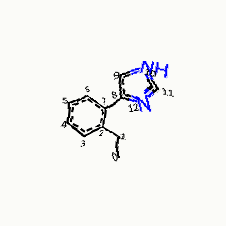 CCc1ccccc1-c1c[nH]cn1